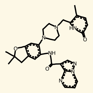 Cc1ccc(=O)[nH]c1CN1CCN(c2cc3c(cc2NC(=O)c2cnn4cccnc24)CC(C)(C)O3)CC1